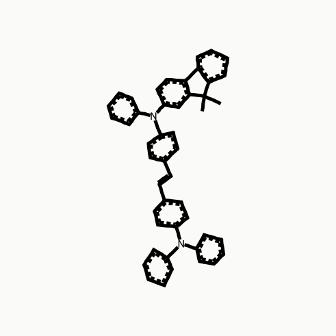 CC1(C)c2ccccc2-c2ccc(N(c3ccccc3)c3ccc(/C=C/c4ccc(N(c5ccccc5)c5ccccc5)cc4)cc3)cc21